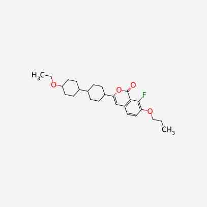 CCCOc1ccc2cc(C3CCC(C4CCC(OCC)CC4)CC3)oc(=O)c2c1F